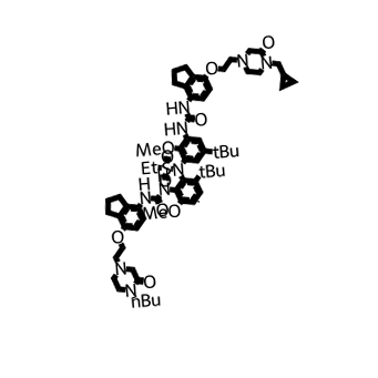 CCCCN1CCN(CCOc2ccc(NC(=O)Nc3c(OC)[c]cc(C(C)(C)C)c3N(c3cc(C(C)(C)C)cc(NC(=O)Nc4ccc(OCCN5CCN(CC6CC6)C(=O)C5)c5c4CCC5)c3OC)S(=O)(=O)CC)c3c2CCC3)CC1=O